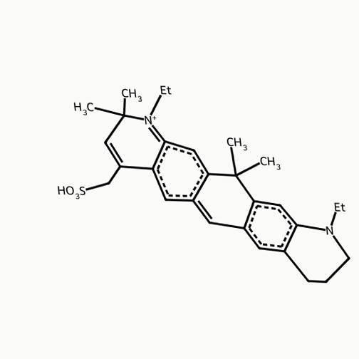 CCN1CCCc2cc3c(cc21)C(C)(C)c1cc2c(cc1=C3)C(CS(=O)(=O)O)=CC(C)(C)[N+]=2CC